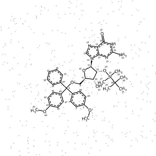 COc1ccc(C(OC[C@H]2O[C@@H](n3cnc4c(=O)[nH]c(N)nc43)[C@H](O[Si](C)(C)C(C)(C)C)[C@@H]2O)(c2ccccc2)c2ccc(OC)cc2)cc1